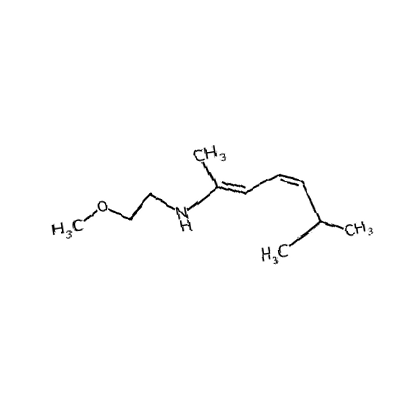 COCCN/C(C)=C/C=C\C(C)C